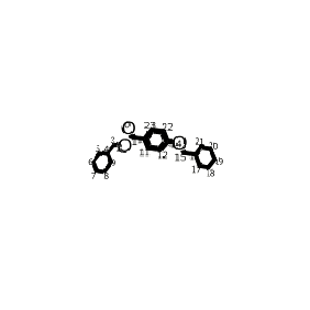 O=C(OCC1CCCCC1)c1ccc(OCC2CCCCC2)cc1